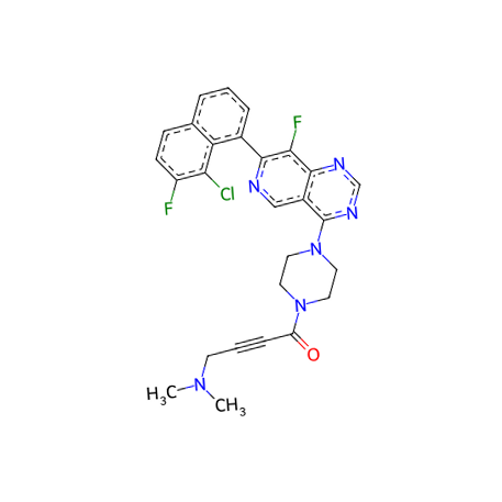 CN(C)CC#CC(=O)N1CCN(c2ncnc3c(F)c(-c4cccc5ccc(F)c(Cl)c45)ncc23)CC1